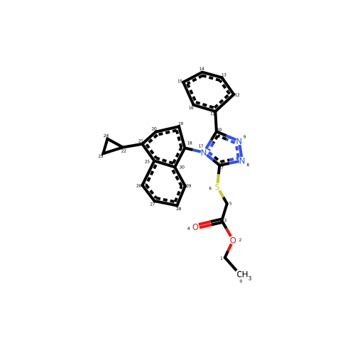 CCOC(=O)CSc1nnc(-c2ccccc2)n1-c1ccc(C2CC2)c2ccccc12